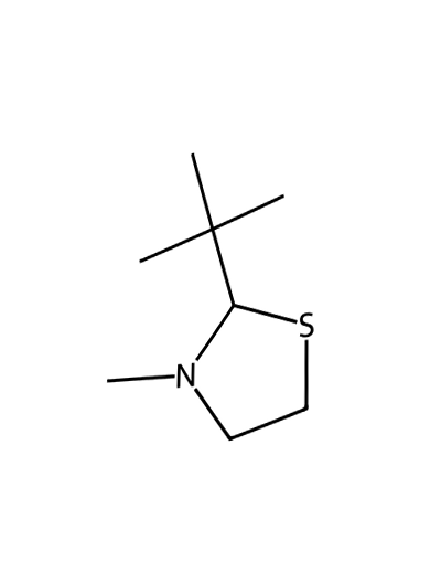 CN1CCSC1C(C)(C)C